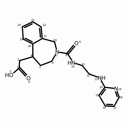 O=C(O)CC1CCN(C(=O)NCCNc2ccccn2)Cc2ccccc21